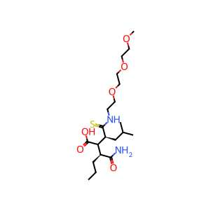 CCC[C@H](C(N)=O)C(C(=O)O)[C@H](CC(C)C)C(=S)NCCOCCOCCOC